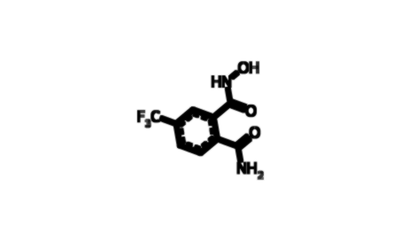 NC(=O)c1ccc(C(F)(F)F)cc1C(=O)NO